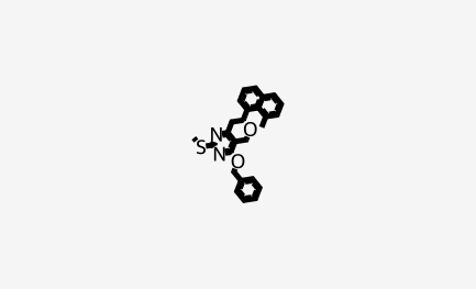 CSc1nc2c(c(OCc3ccccc3)n1)COC(c1cccc3cccc(C)c13)C2